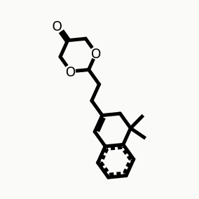 CC1(C)CC(CCC2OCC(=O)CO2)=Cc2ccccc21